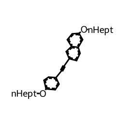 CCCCCCCOc1ccc(C#Cc2ccc3cc(OCCCCCCC)ccc3c2)cc1